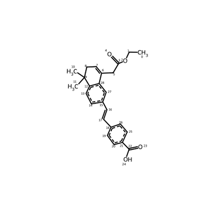 CCOC(=O)CC1=CCC(C)(C)c2ccc(/C=C/c3ccc(C(=O)O)cc3)cc21